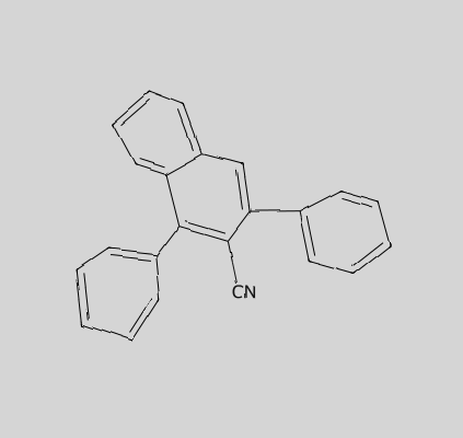 N#Cc1c(-c2ccccc2)cc2ccccc2c1-c1ccccc1